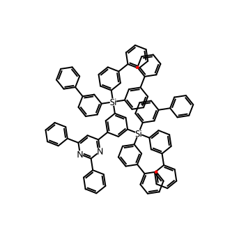 c1ccc(-c2cccc([Si](c3cccc(-c4ccccc4)c3)(c3cccc(-c4ccccc4)c3)c3cc(-c4cc(-c5ccccc5)nc(-c5ccccc5)n4)cc([Si](c4cccc(-c5ccccc5)c4)(c4cccc(-c5ccccc5)c4)c4cccc(-c5ccccc5)c4)c3)c2)cc1